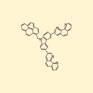 c1cnc2c(c1)ccc1cc(-c3ccc4c(c3)c3cc(-c5cnc6c(ccc7cccnc76)c5)ccc3n4Cc3ccc4ccc5cccc6ccc3c4c56)cnc12